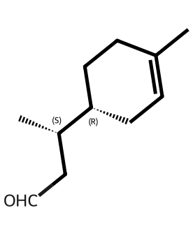 CC1=CC[C@H]([C@@H](C)CC=O)CC1